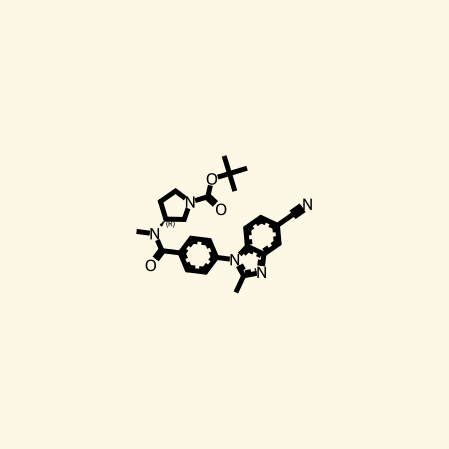 Cc1nc2cc(C#N)ccc2n1-c1ccc(C(=O)N(C)[C@@H]2CCN(C(=O)OC(C)(C)C)C2)cc1